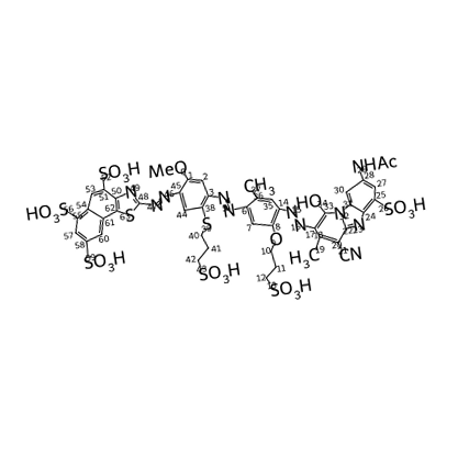 COc1cc(N=Nc2cc(OCCCS(=O)(=O)O)c(N=Nc3c(C)c(C#N)c4nc5c(S(=O)(=O)O)cc(NC(C)=O)cc5n4c3O)cc2C)c(SCCCS(=O)(=O)O)cc1N=Nc1nc2c(S(=O)(=O)O)cc3c(S(=O)(=O)O)cc(S(=O)(=O)O)cc3c2s1